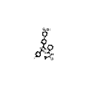 N#CC(NC(=O)[C@@H]1CCCC[C@H]1c1oc(-c2ccc(F)cc2)nc1-c1ccc(N2CCS(O)(O)CC2)cc1)C1CC1